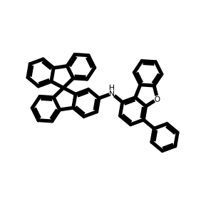 c1ccc(-c2ccc(Nc3ccc4c(c3)C3(c5ccccc5-c5ccccc53)c3ccccc3-4)c3c2oc2ccccc23)cc1